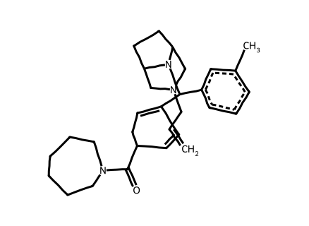 C=CCN1CC2CCC(C1)N2C(C1=CCC(C(=O)N2CCCCCC2)C=C1)c1cccc(C)c1